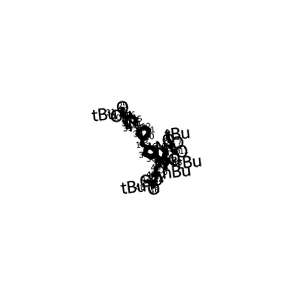 CCCCc1nc2c(N(C(=O)OC(C)(C)C)C(=O)OC(C)(C)C)nc3cc(Cc4cccc(N5CCN(C(=O)OC(C)(C)C)CC5)c4)ccc3c2n1CC(C)(C)OC(=O)OC(C)(C)C